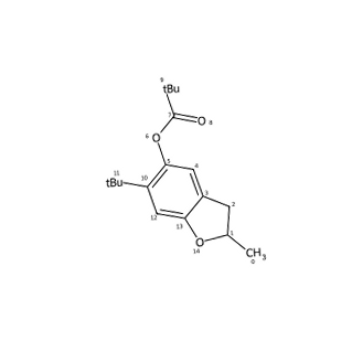 CC1Cc2cc(OC(=O)C(C)(C)C)c(C(C)(C)C)cc2O1